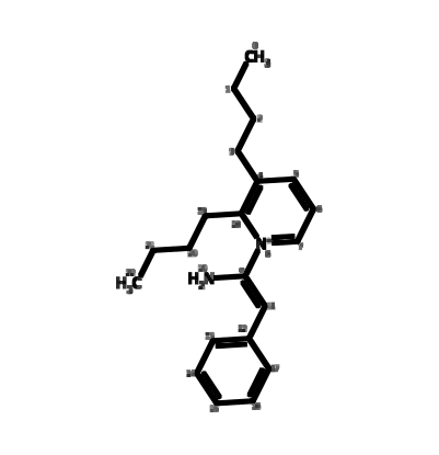 CCCCc1ccc[n+](C(N)=Cc2ccccc2)c1CCCC